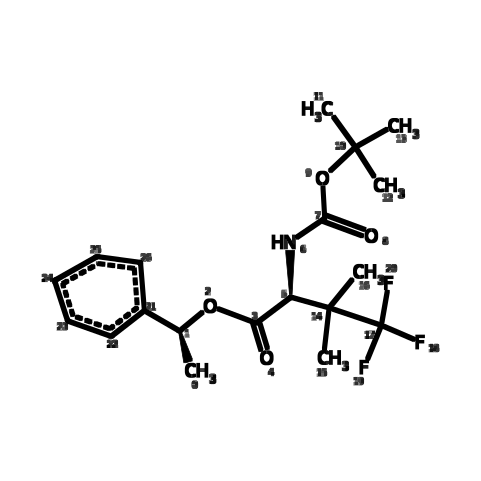 C[C@H](OC(=O)[C@@H](NC(=O)OC(C)(C)C)C(C)(C)C(F)(F)F)c1ccccc1